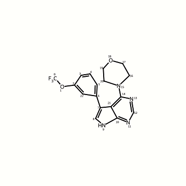 FC(F)(F)Oc1cccc(-c2c[nH]c3ncnc(N4CCOCC4)c23)c1